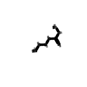 CC(C)OC(=O)OOOC(C)(C)C